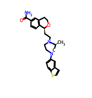 C[C@@H]1CN(c2ccc3sccc3c2)CCN1CC[C@@H]1OCCc2cc(C(N)=O)ccc21